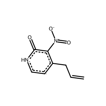 C=CCc1[c]c[nH]c(=O)c1[N+](=O)[O-]